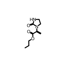 C=C(C(=O)OCCC)N1CCNC1=O